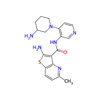 Cc1ccc2sc(N)c(C(=O)Nc3cnccc3N3CCCC(N)C3)c2n1